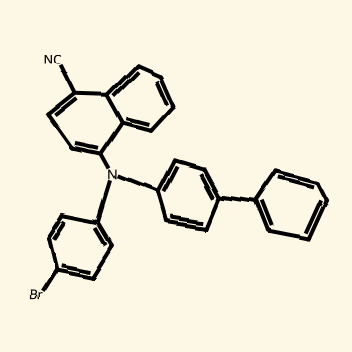 N#Cc1ccc(N(c2ccc(Br)cc2)c2ccc(-c3ccccc3)cc2)c2ccccc12